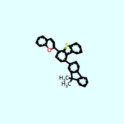 CC1(C)c2ccccc2-c2ccc(-c3ccc(C4=C=Cc5ccccc5O4)c4sc5ccccc5c34)cc21